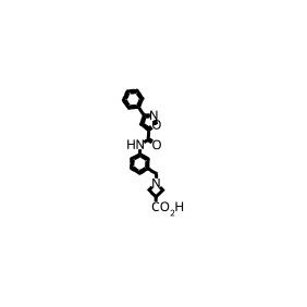 O=C(Nc1cccc(CN2CC(C(=O)O)C2)c1)c1cc(-c2ccccc2)no1